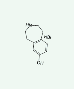 Br.Oc1ccc2c(c1)CCNCC2